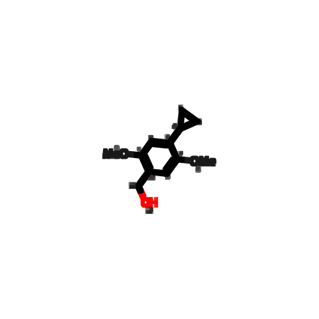 COc1cc(C2CC2)c(OC)cc1CO